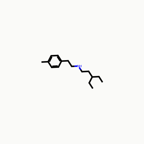 CCC(CC)CCNCCc1ccc(C)cc1